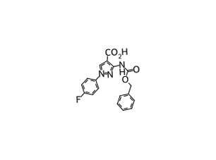 O=C(Nc1nn(-c2ccc(F)cc2)cc1C(=O)O)OCc1ccccc1